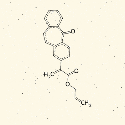 C=CCOC(=O)C(=C)c1ccc2c(=O)c3ccccc3ccc2c1